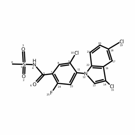 CS(=O)(=O)NC(=O)c1cc(Cl)c(-n2cc(Cl)c3cc(Cl)ccc32)cc1F